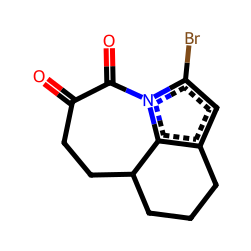 O=C1CCC2CCCc3cc(Br)n(c32)C1=O